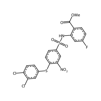 COC(=O)c1ccc(F)cc1NS(=O)(=O)c1ccc(Sc2ccc(Cl)c(Cl)c2)c([N+](=O)[O-])c1